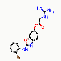 N=C(N)NCC(=O)Oc1ccc2nc(Nc3ccccc3Br)oc2c1